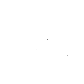 C[C@@H]1NC[C@H]2[C@@H]1CCN2C(=O)c1ncc(-c2ccncc2)o1